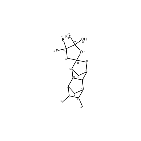 CC1C(C)C2CC1C1C3CC(C21)C1(C3)CC(F)(F)C(O)(C(F)(F)F)O1